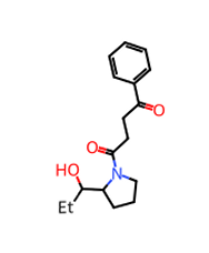 CCC(O)C1CCCN1C(=O)CCC(=O)c1ccccc1